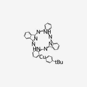 CC(C)(C)c1cc[c]([Cu][c]2cccc3c4nc5nc(nc6[nH]c(nc7nc(nc([nH]4)c23)-c2ccccc2-7)c2ccccc62)-c2ccccc2-5)cc1